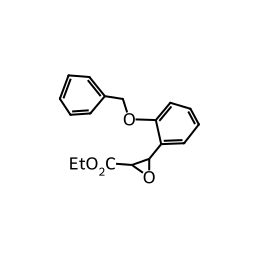 CCOC(=O)C1OC1c1ccccc1OCc1ccccc1